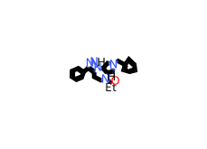 CCC(=O)N1CCc2c(-c3ccccc3)nnn2[C@@H]2CN(Cc3ccccc3)C[C@@H]21